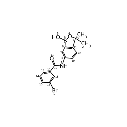 CC1(C)OB(O)c2cc(NC(=O)c3cccc(Br)c3)ccc21